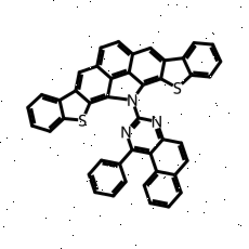 c1ccc(-c2nc(-n3c4c5sc6ccccc6c5cc5ccc6cc7c8ccccc8sc7c3c6c54)nc3ccc4ccccc4c23)cc1